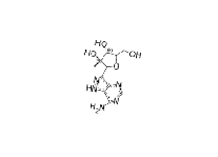 C[C@]1(O)C(c2n[nH]c3c(N)ncnc23)OC(CO)[C@H]1O